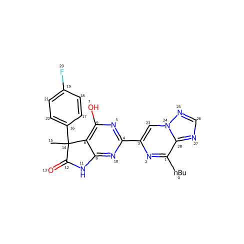 CCCCc1nc(-c2nc(O)c3c(n2)NC(=O)C3(C)c2ccc(F)cc2)cn2ncnc12